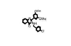 COc1cc(OC)cc(-c2nc3ccccc3c(=O)n2NCc2ccc(Cl)cc2)c1